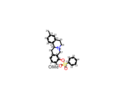 COc1ccc2c(c1OS(=O)(=O)c1ccccc1)CN1CCc3cc(C)ccc3C1C2